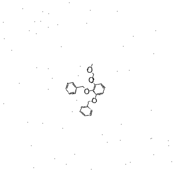 COCOc1cccc(OCc2ccccc2)c1OCc1ccccc1